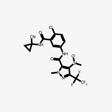 Cn1nc(C(F)(F)C(F)(F)F)c([S+](C)[O-])c1C(=O)Nc1ccc(Cl)c(C(=O)NC2(C#N)CC2)c1